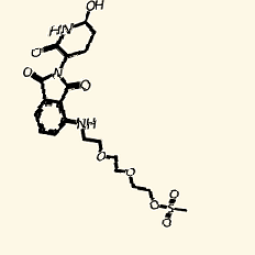 CS(=O)(=O)OCCOCCOCCNc1cccc2c1C(=O)N(C1CCC(O)NC1=O)C2=O